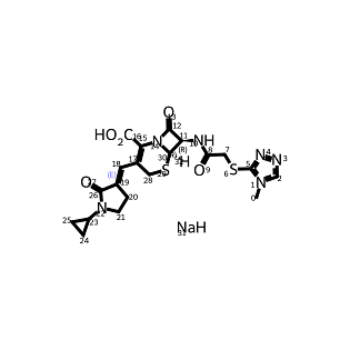 Cn1cnnc1SCC(=O)N[C@@H]1C(=O)N2C(C(=O)O)=C(/C=C3\CCN(C4CC4)C3=O)CS[C@H]12.[NaH]